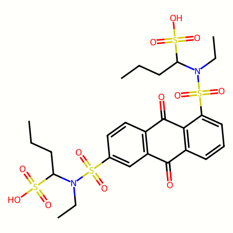 CCCC(N(CC)S(=O)(=O)c1ccc2c(c1)C(=O)c1cccc(S(=O)(=O)N(CC)C(CCC)S(=O)(=O)O)c1C2=O)S(=O)(=O)O